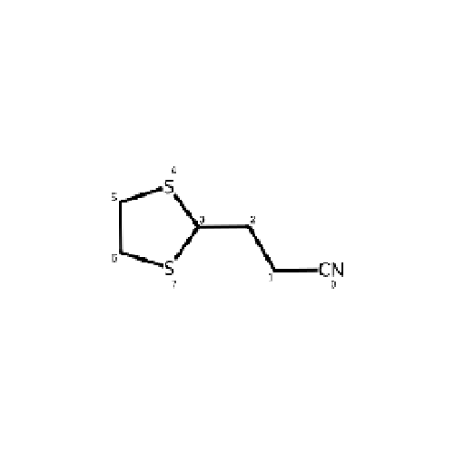 N#CCCC1SCCS1